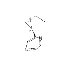 CC[C@H]1C[C@@H]1c1ccccn1